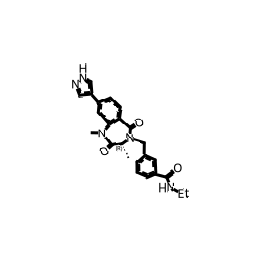 CCNC(=O)c1cccc(CN2C(=O)c3ccc(-c4cn[nH]c4)cc3N(C)C(=O)[C@H]2C)c1